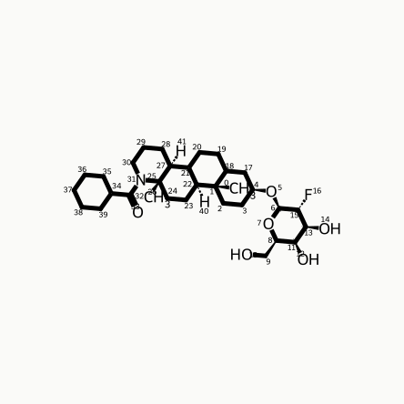 C[C@]12CC[C@H](O[C@@H]3O[C@H](CO)[C@H](O)[C@H](O)[C@H]3F)CC1CCC1[C@@H]2CC[C@@]2(C)[C@H]1CCCN2C(=O)C1CCCCC1